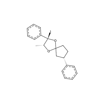 C[C@H]1OC2(CC[C@H](c3ccccc3)C2)O[C@@]1(I)c1ccccc1